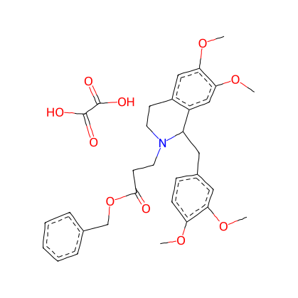 COc1ccc(CC2c3cc(OC)c(OC)cc3CCN2CCC(=O)OCc2ccccc2)cc1OC.O=C(O)C(=O)O